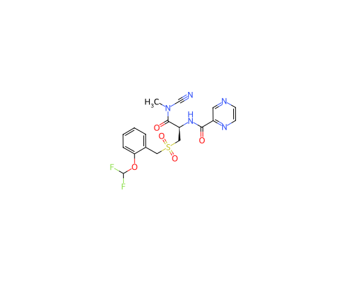 CN(C#N)C(=O)[C@H](CS(=O)(=O)Cc1ccccc1OC(F)F)NC(=O)c1cnccn1